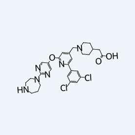 O=C(O)CC1CCN(Cc2cc(Oc3cnc(N4CCCNCC4)nc3)nc(-c3cc(Cl)cc(Cl)c3)c2)CC1